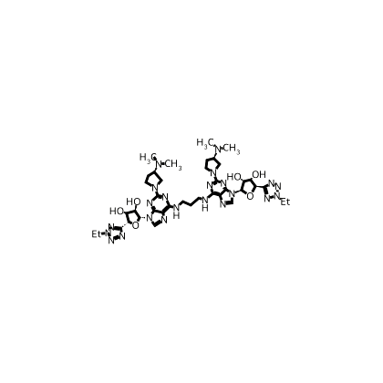 CCn1nnc([C@H]2O[C@@H](n3cnc4c(NCCCNc5nc(N6CC[C@@H](N(C)C)C6)nc6c5ncn6[C@@H]5O[C@H](c6nnn(CC)n6)[C@@H](O)[C@H]5O)nc(N5CC[C@@H](N(C)C)C5)nc43)[C@H](O)[C@@H]2O)n1